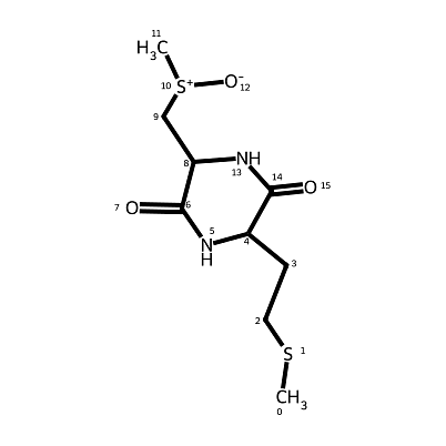 CSCCC1NC(=O)C(C[S+](C)[O-])NC1=O